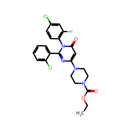 CCOC(=O)N1CCN(c2cc(=O)n(-c3ccc(Cl)cc3F)c(-c3ccccc3Cl)n2)CC1